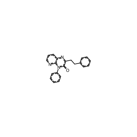 O=c1c(CCc2ccccc2)nc2cccnc2n1-c1ccccc1